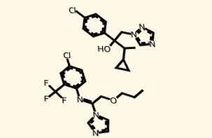 CC(C1CC1)C(O)(Cn1cncn1)c1ccc(Cl)cc1.CCCOC/C(=N\c1ccc(Cl)cc1C(F)(F)F)n1ccnc1